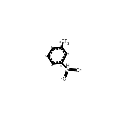 O=[SH](=O)c1cccc(C(F)(F)F)c1